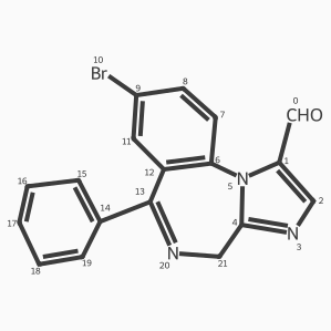 O=Cc1cnc2n1-c1ccc(Br)cc1C(c1ccccc1)=NC2